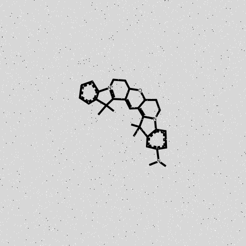 CN(C)c1ccc2c(c1)C(C)(C)C1=C3C=C4C5=[N+](CCC4OC3CCN12)c1ccccc1C5(C)C